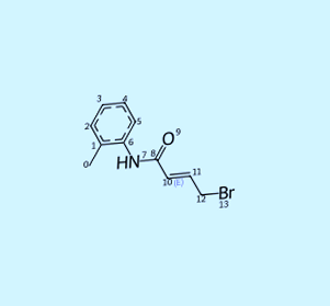 Cc1ccccc1NC(=O)/C=C/CBr